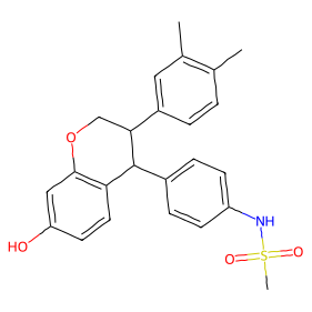 Cc1ccc(C2COc3cc(O)ccc3C2c2ccc(NS(C)(=O)=O)cc2)cc1C